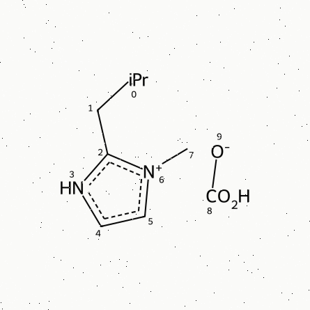 CC(C)Cc1[nH]cc[n+]1C.O=C([O-])O